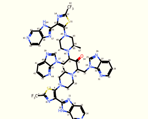 C[C@@H]1CN(c2sc(C(F)(F)F)nc2-c2nc3ccncc3[nH]2)CCN1C(Cn1cnc2cccnc21)C(=O)C(Cn1cnc2cccnc21)N1CCN(c2sc(C(F)(F)F)nc2-c2nc3ccncc3[nH]2)C[C@H]1C